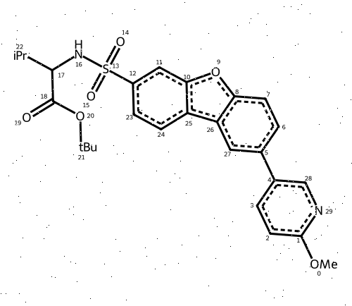 COc1ccc(-c2ccc3oc4cc(S(=O)(=O)NC(C(=O)OC(C)(C)C)C(C)C)ccc4c3c2)cn1